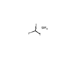 IC(I)I.[SiH4]